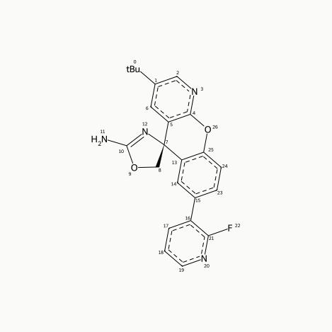 CC(C)(C)c1cnc2c(c1)[C@]1(COC(N)=N1)c1cc(-c3cccnc3F)ccc1O2